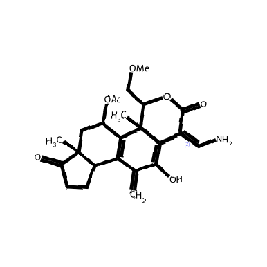 C=C1C(O)=C2/C(=C/N)C(=O)OC(COC)C2(C)C2=C1C1CCC(=O)C1(C)CC2OC(C)=O